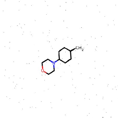 [CH2]C1CCC(N2CCOCC2)CC1